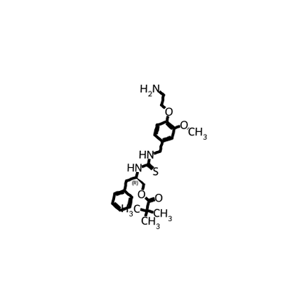 COc1cc(CNC(=S)N[C@@H](COC(=O)C(C)(C)C)Cc2ccccc2)ccc1OCCN